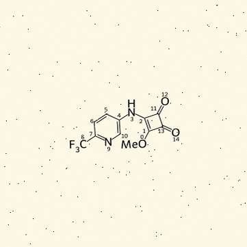 COc1c(Nc2ccc(C(F)(F)F)nc2)c(=O)c1=O